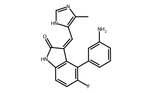 Cc1nc[nH]c1C=C1C(=O)Nc2ccc(F)c(-c3cccc(N)c3)c21